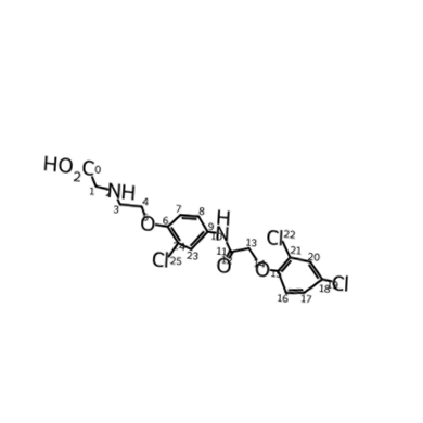 O=C(O)CNCCOc1ccc(NC(=O)COc2ccc(Cl)cc2Cl)cc1Cl